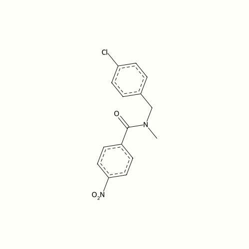 CN(Cc1ccc(Cl)cc1)C(=O)c1ccc([N+](=O)[O-])cc1